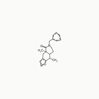 CC1c2oncc2CC2(C)C(=O)N(Cc3ccccc3)CCC12